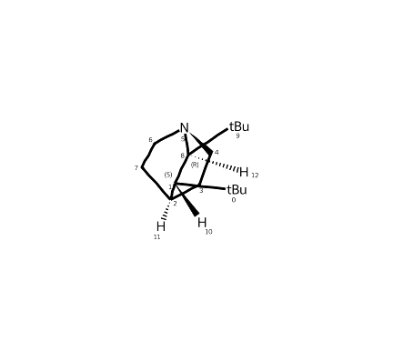 CC(C)(C)[C@@H]1[C@H]2CC[N@](CC2)[C@H]1C(C)(C)C